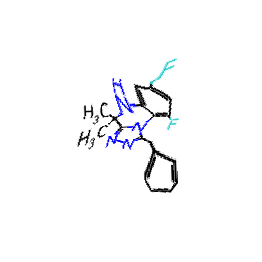 CC1(C)Nc2cc(F)cc(F)c2-n2c(Cc3ccccc3)nnc21